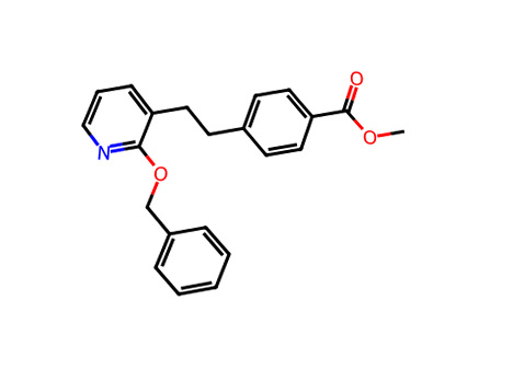 COC(=O)c1ccc(CCc2cccnc2OCc2ccccc2)cc1